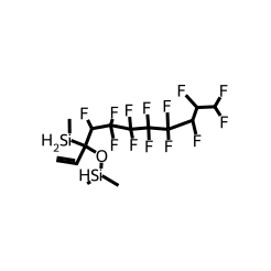 C=CC(O[SiH](C)C)([SiH2]C)C(F)C(F)(F)C(F)(F)C(F)(F)C(F)(F)C(F)C(F)C(F)F